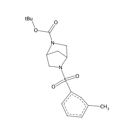 Cc1cccc(S(=O)(=O)N2CC3CC2CN3C(=O)OC(C)(C)C)c1